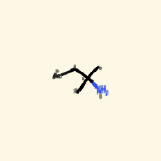 CC(=O)CC(C)(C)N